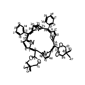 CC1(C)COC(C2=C3C=CC(=N3)C(c3ccccc3)=C3C=CC(=N3)C(c3ccccc3)=C3C=CC(=N3)C(C3OCC(C)(C)CO3)=C3C=CC2=N3)OC1